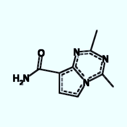 Cc1nc(C)n2ccc(C(N)=O)c2n1